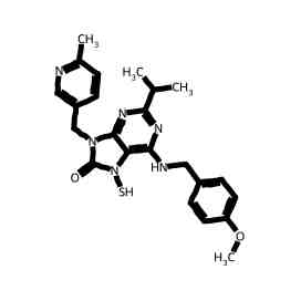 COc1ccc(CNc2nc(C(C)C)nc3c2n(S)c(=O)n3Cc2ccc(C)nc2)cc1